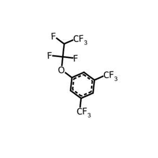 FC(C(F)(F)F)C(F)(F)Oc1cc(C(F)(F)F)cc(C(F)(F)F)c1